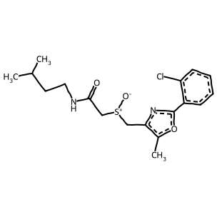 Cc1oc(-c2ccccc2Cl)nc1C[S+]([O-])CC(=O)NCCC(C)C